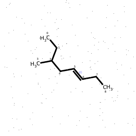 [CH2]CC(C)C/C=C/CC